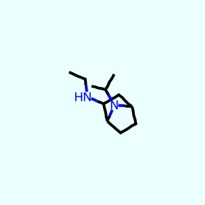 CCNC1CC2CCC1N2C(C)C